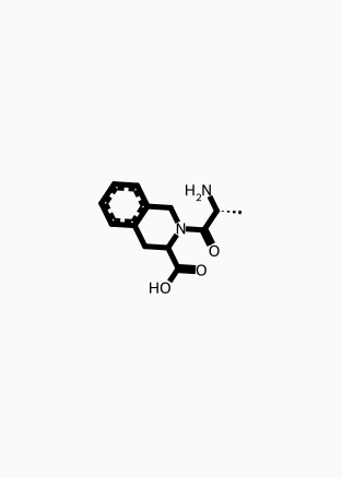 C[C@@H](N)C(=O)N1Cc2ccccc2CC1C(=O)O